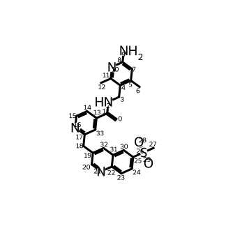 C=C(NCc1c(C)cc(N)nc1C)c1ccnc(Cc2cnc3ccc(S(C)(=O)=O)cc3c2)c1